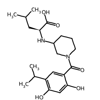 CC(C)C[C@H](NC1CCCN(C(=O)c2cc(C(C)C)c(O)cc2O)C1)C(=O)O